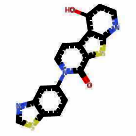 O=c1c2sc3nccc(O)c3c2ccn1-c1ccc2scnc2c1